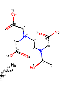 CC(O)N(CCN(CC(=O)[O-])CC(=O)[O-])CC(=O)[O-].[Na+].[Na+].[Na+]